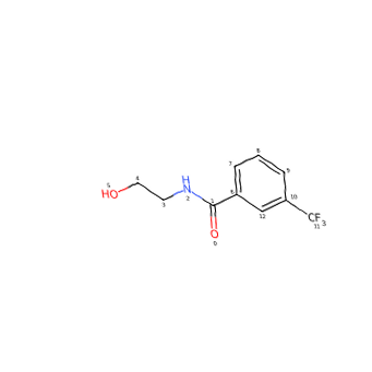 O=C(NCCO)c1cccc(C(F)(F)F)c1